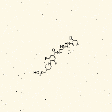 O=C(O)CC1CCN(c2c(F)cc(C(=O)NCCNC(=O)Nc3ccccc3Cl)cc2F)CC1